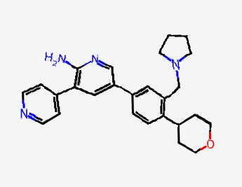 Nc1ncc(-c2ccc(C3CCOCC3)c(CN3CCCC3)c2)cc1-c1ccncc1